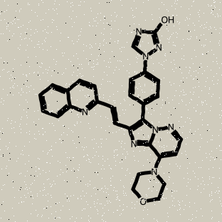 Oc1ncn(-c2ccc(-c3c(C=Cc4ccc5ccccc5n4)nc4c(N5CCOCC5)ccnn34)cc2)n1